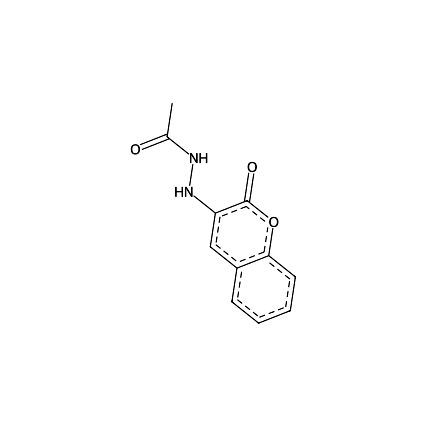 CC(=O)NNc1cc2ccccc2oc1=O